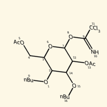 CCCCOC1C(COC(C)=O)OC(OC(=N)C(Cl)(Cl)Cl)C(OC(C)=O)C1OCCCC